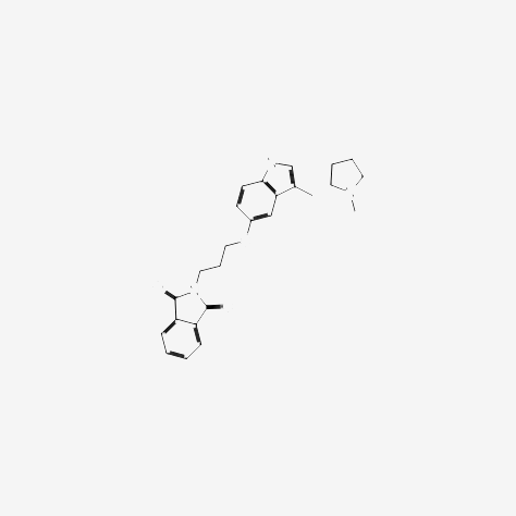 CN1CCC[C@H]1Cc1c[nH]c2ccc(OCCCN3C(=O)c4ccccc4C3=O)cc12